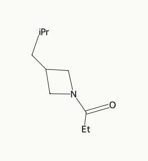 CCC(=O)N1CC(CC(C)C)C1